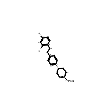 CCCCC[C@H]1CC[C@H](c2ccc(CCc3ccc(F)cc3F)cc2)CC1